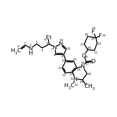 C=CNCCC(CC)n1cc(-c2ccc3c(c2)N(C(=O)OC2CCC(F)(F)CC2)CC(C)N3C)cn1